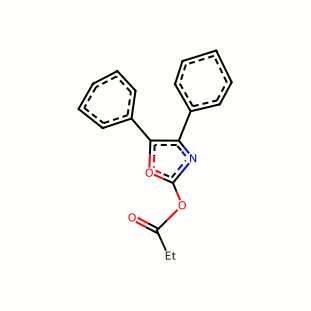 CCC(=O)Oc1nc(-c2ccccc2)c(-c2ccccc2)o1